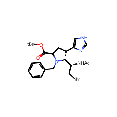 CC(=O)N[C@@H](CC(C)C)[C@H]1C(c2c[nH]cn2)CC(C(=O)OC(C)(C)C)N1Cc1ccccc1